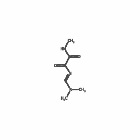 CNC(=O)C(=O)/N=C/N(C)C